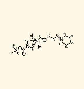 CC(C)(C)OC(=O)N1C[C@@H]2[C@H](COCCCN3CCCCC3)[C@@H]2C1